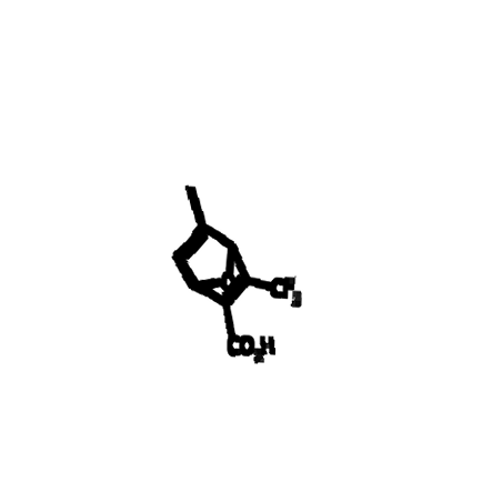 CC1=CC2OC1C(C(F)(F)F)=C2C(=O)O